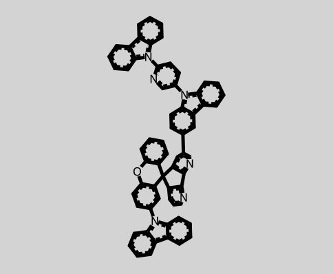 c1ccc2c(c1)Oc1ccc(-n3c4ccccc4c4ccccc43)cc1C21c2cccnc2-c2ncc(-c3ccc4c(c3)c3ccccc3n4-c3ccc(-n4c5ccccc5c5ccccc54)nc3)cc21